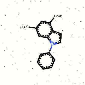 COc1cc(C(=O)O)cc2c1ccn2-c1ccccc1